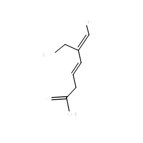 C/C=C(/C=C/CC(=O)O)CC